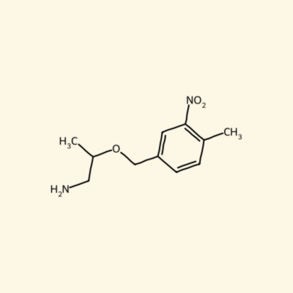 Cc1ccc(COC(C)CN)cc1[N+](=O)[O-]